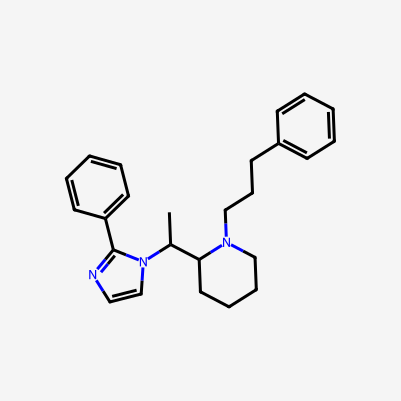 CC(C1CCCCN1CCCc1ccccc1)n1ccnc1-c1ccccc1